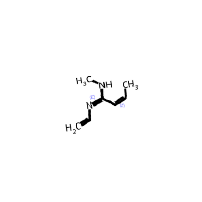 C=C/N=C(\C=C/C)NC